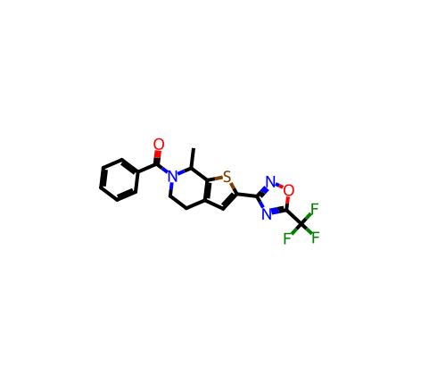 CC1c2sc(-c3noc(C(F)(F)F)n3)cc2CCN1C(=O)c1ccccc1